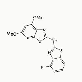 COc1cc(OC)c2nc(Nc3nc4c(F)cccc4s3)sc2c1